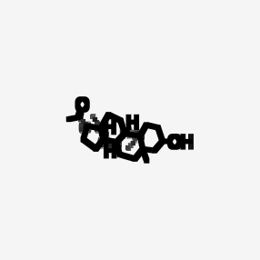 CC(=O)[C@H]1CC[C@H]2[C@@H]3CCC4(C)CC(O)CC[C@]4(C)[C@H]3CC[C@]12C